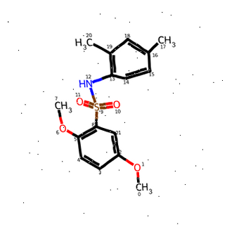 COc1ccc(OC)c(S(=O)(=O)Nc2ccc(C)cc2C)c1